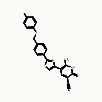 Cc1[nH]c(=O)c(C#N)cc1-c1csc(-c2ccc(CSc3ccc(F)cc3)cc2)n1